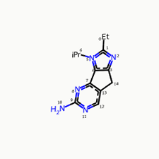 CCc1nc2c(n1C(C)C)-c1nc(N)ncc1C2